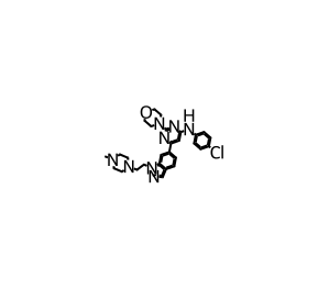 CN1CCN(CCn2ncc3ccc(-c4cc(Nc5ccc(Cl)cc5)nc(N5CCOCC5)n4)cc32)CC1